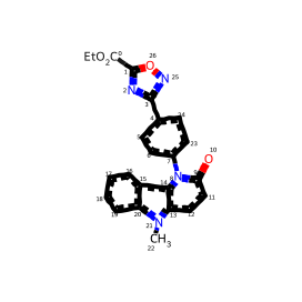 CCOC(=O)c1nc(-c2ccc(-n3c(=O)ccc4c3c3ccccc3n4C)cc2)no1